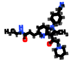 CCNC(=O)CCc1ccc2c(n1)c(C(=O)CN1CCCCC1)c(C)n2-c1ccc(C#N)cc1